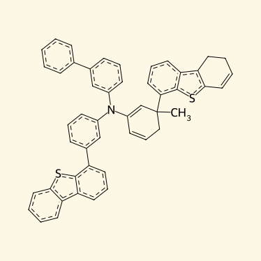 CC1(c2cccc3c4c(sc23)C=CCC4)C=C(N(c2cccc(-c3ccccc3)c2)c2cccc(-c3cccc4c3sc3ccccc34)c2)C=CC1